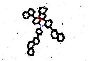 c1ccc2cc(-c3ccc(-c4ccc5ccccc5c4)c(N(c4ccc(-c5ccc6c(ccc7ccccc76)c5)cc4)c4ccc(-c5cccc6ccccc56)cc4)c3)ccc2c1